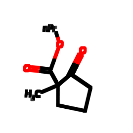 CCCOC(=O)C1(C)CCCC1=O